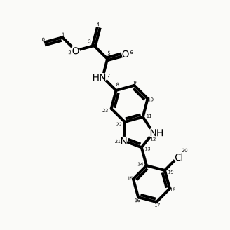 C=COC(=C)C(=O)Nc1ccc2[nH]c(-c3ccccc3Cl)nc2c1